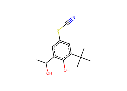 CC(O)c1cc(SC#N)cc(C(C)(C)C)c1O